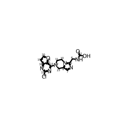 O=C(O)NCc1ncc2n1CCN(c1nc(Cl)nc3ccoc13)C2